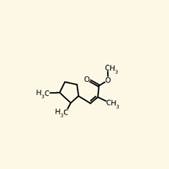 COC(=O)C(C)=CC1CCC(C)C1C